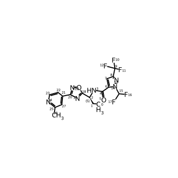 CC[C@H](NC(=O)c1cc(C(F)(F)F)nn1C(F)F)c1nc(-c2ccnc(C)c2)no1